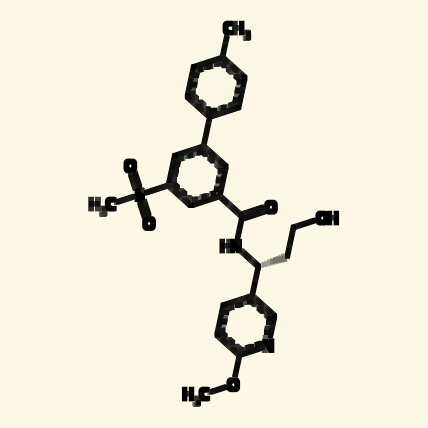 COc1ccc([C@@H](CCO)NC(=O)c2cc(-c3ccc(C)cc3)cc(S(C)(=O)=O)c2)cn1